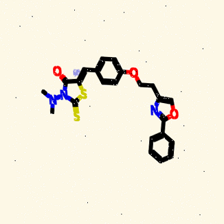 CN(C)N1C(=O)/C(=C/c2ccc(OCCc3coc(-c4ccccc4)n3)cc2)SC1=S